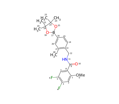 COc1cc(F)c(F)cc1C(=O)NCc1ccc(B2OC(C)(C)C(C)(C)O2)cc1C